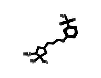 CC1(C)C[C@H](CCCOc2cccc(S(N)(=O)=O)c2)CN1C(=O)O